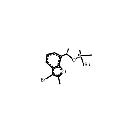 Cc1oc2c([C@@H](C)O[Si](C)(C)C(C)(C)C)cccc2c1Br